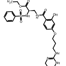 CCOC(=O)[C@@H](C[AsH]C(=O)c1ccc(OCCCNC2=NCCCN2)cc1O)NS(=O)(=O)c1ccccc1